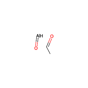 CC=O.[O]=[AlH]